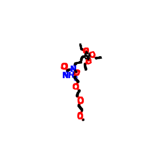 CCO[Si](CCCN(OCCOCCOCCOC)C(N)=O)(OCC)OCC